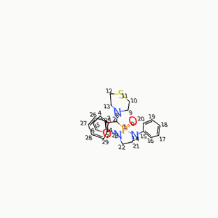 O=P1(C(c2ccco2)N2CCSCC2)N(c2ccccc2)CCN1c1ccccc1